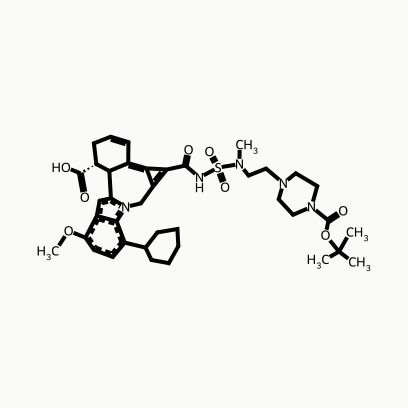 COc1ccc(C2CCCCC2)c2c1cc1n2CC2=C(C(=O)NS(=O)(=O)N(C)CCN3CCN(C(=O)OC(C)(C)C)CC3)C2=C2C=CC[C@@H](C(=O)O)C21